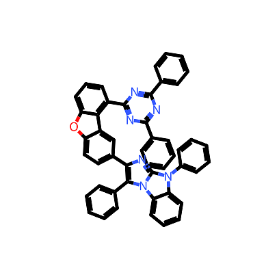 c1ccc(-c2nc(-c3ccccc3)nc(-c3cccc4oc5ccc(-c6nc7n(-c8ccccc8)c8ccccc8n7c6-c6ccccc6)cc5c34)n2)cc1